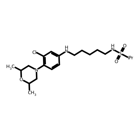 CC1CN(c2ccc(NCCCCCNS(=O)(=O)C(C)C)cc2Cl)CC(C)O1